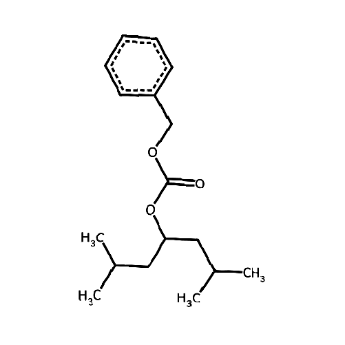 CC(C)CC(CC(C)C)OC(=O)OCc1ccccc1